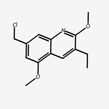 CCc1cc2c(OC)cc(CCl)cc2nc1OC